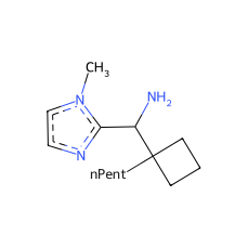 CCCCCC1(C(N)c2nccn2C)CCC1